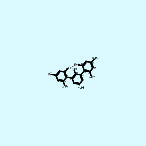 CC(C)c1cc(C(C)C)c(-c2cccc(-c3c(C(C)C)cc(C(C)C)cc3C(C)C)c2O)c(C(C)C)c1.[LiH]